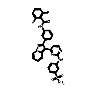 NS(=O)(=O)c1cccc(Nc2nccc(-c3c(-c4cccc(NC(=O)c5c(F)cccc5F)c4)nn4ccccc34)n2)c1